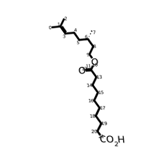 CC(C)=CCC[C@H](C)CCOC(=O)CCCCCCCCC(=O)O